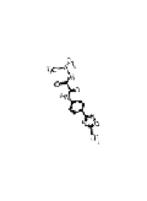 CN(C)NC(=O)C(=O)Nc1ccc(-c2noc(C(F)(F)F)n2)cc1